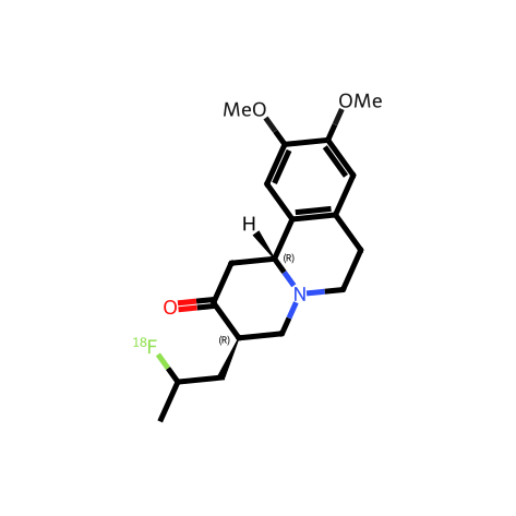 COc1cc2c(cc1OC)[C@H]1CC(=O)[C@H](CC(C)[18F])CN1CC2